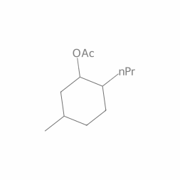 CCCC1CCC(C)CC1OC(C)=O